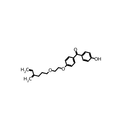 C=CC(=C)CCCOCCOc1ccc(C(=O)c2ccc(O)cc2)cc1